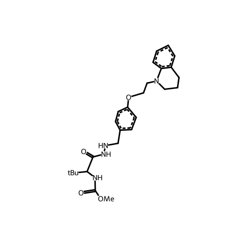 COC(=O)NC(C(=O)NNCc1ccc(OCCN2CCCc3ccccc32)cc1)C(C)(C)C